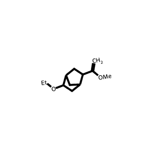 C=C(OC)C1CC2CC1CC2OCC